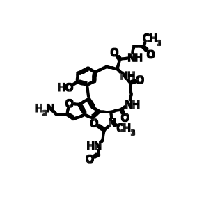 CC(=O)CNC(=O)C1Cc2ccc(O)c(c2)-c2cc(cc3cc(CN)oc23)C(N(C)C(=O)CNC=O)C(=O)NCC(=O)N1